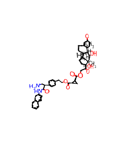 C[C@]12C=CC(=O)C=C1CC[C@@H]1[C@@H]2[C@@H](O)C[C@@]2(C)[C@H]1CC[C@]2(O)C(=O)COC(=O)C1CC1C(=O)OCCc1ccc(C(CN)C(=O)Nc2ccc3ccccc3c2)cc1